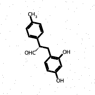 Cc1ccc([C@@H](C=O)Cc2ccc(O)cc2O)cc1